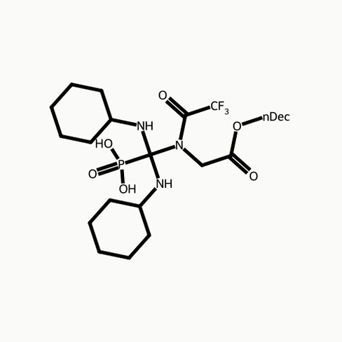 CCCCCCCCCCOC(=O)CN(C(=O)C(F)(F)F)C(NC1CCCCC1)(NC1CCCCC1)P(=O)(O)O